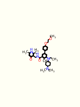 CCN(c1cc(-c2ccc(OCCOC)cc2)cc(C(=O)NCc2c(C)[nH]c(C)cc2=O)c1C)C1CCC(N(C)C)CC1